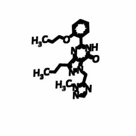 CCCOc1ccccc1-c1nc2c(CCC)nn(Cc3ncnn3C)c2c(=O)[nH]1